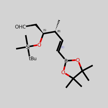 C[C@H](/C=C/B1OC(C)(C)C(C)(C)O1)[C@H](CC=O)O[Si](C)(C)C(C)(C)C